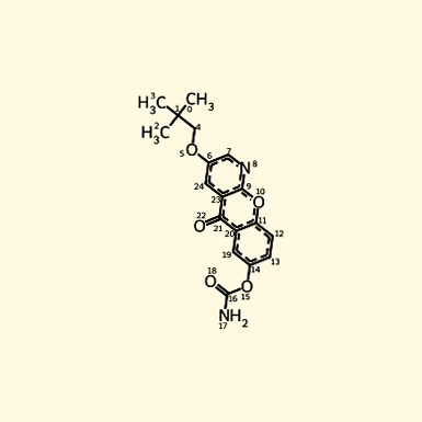 CC(C)(C)COc1cnc2oc3ccc(OC(N)=O)cc3c(=O)c2c1